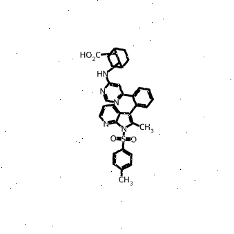 Cc1ccc(S(=O)(=O)n2c(C)c(-c3ccccc3-c3cc(NC4C5CCC(CC5)C4C(=O)O)ncn3)c3cccnc32)cc1